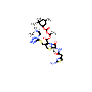 CC1CC(OC(=O)OC(C)OC(=O)C2=C(CSc3nnnn3CCN(C)C)CS[C@@H]3[C@H](NC(=O)Cc4csc(N)n4)C(=O)N23)CC(C)(C)C1